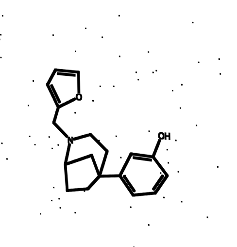 Oc1cccc(C23CCC(C2)N(Cc2ccco2)CC3)c1